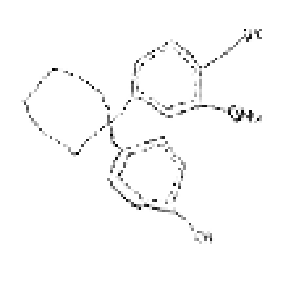 COc1cc(C2(c3ccc(O)cc3)CCCCC2)ccc1C(C)C